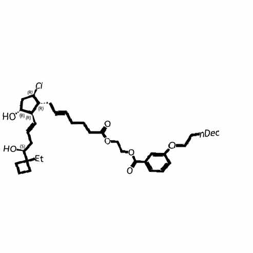 CCCCCCCCCCCCOc1cccc(C(=O)OCCOC(=O)CCCC=CC[C@@H]2[C@@H](C=CC[C@H](O)C3(CC)CCC3)[C@H](O)C[C@H]2Cl)c1